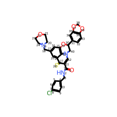 O=C(NCc1ccc(Cl)cc1)c1cn2c3c(cc(CN4CCOCC4)cc3c1=S)OC(c1ccc3c(c1)OCO3)C2